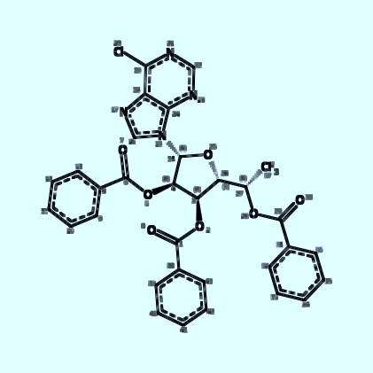 O=C(O[C@H]1[C@@H](OC(=O)c2ccccc2)[C@H](n2cnc3c(Cl)ncnc32)O[C@@H]1[C@@H](OC(=O)c1ccccc1)C(F)(F)F)c1ccccc1